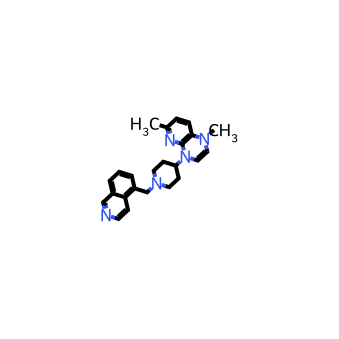 Cc1ccc2c(n1)N(C1CCN(Cc3cccc4cnccc34)CC1)C=CN2C